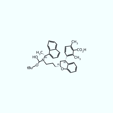 Cc1ccc([C@H]2C[C@@H](CCCN(C(O)OC(C)(C)C)[C@H](C)c3cccc4ccccc34)Oc3ccccc32)c(C)c1C(=O)O